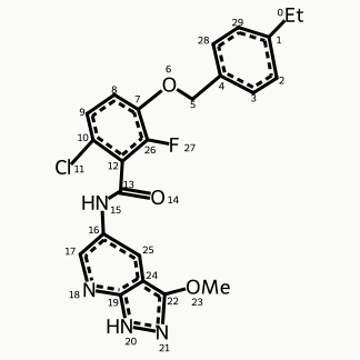 CCc1ccc(COc2ccc(Cl)c(C(=O)Nc3cnc4[nH]nc(OC)c4c3)c2F)cc1